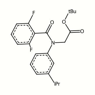 CC(C)c1cccc(N(CC(=O)OC(C)(C)C)C(=O)c2c(F)cccc2F)c1